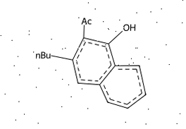 CCCCc1cc2ccccc2c(O)c1C(C)=O